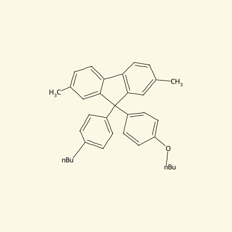 CCCCOc1ccc(C2(c3ccc(CCCC)cc3)c3cc(C)ccc3-c3ccc(C)cc32)cc1